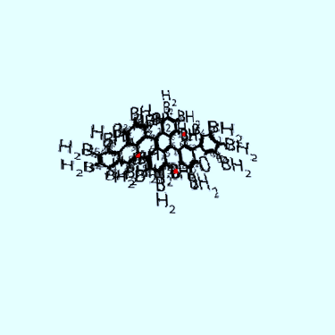 Bc1c(B)c(B)c2c(oc3c(B)c(B)c(-c4c5c(B)c(B)c(B)c(B)c5c(-c5c(B)c(B)c(B)c6c5c(B)c(B)c5c(B)c(B)c(B)c(B)c56)c5c(B)c(B)c(B)c(B)c45)c(B)c32)c1B